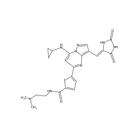 CN(C)CCNC(=O)c1ccc(-c2cc(NC3CC3)n3ncc(/C=C4\NC(=O)NC4=O)c3n2)s1